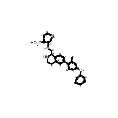 Cc1cc(Oc2ccccc2)ccc1-c1ccc2c(c1)CCNC2CNc1cnccc1C(=O)O